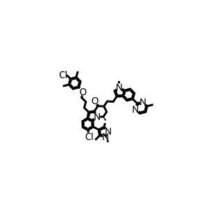 Cc1ccnc(-c2ccc3c(c2)c(CCC2C[C@@H](C)n4c(c(CCCOc5cc(C)c(Cl)c(C)c5)c5ccc(Cl)c(-c6c(C)nn(C)c6C)c54)C2=O)cn3C)n1